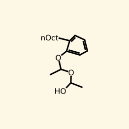 CCCCCCCCc1ccccc1OC(C)OC(C)O